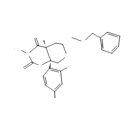 C=C1N[C@@]2(c3ccc(F)cc3F)CO[C@@H](COCc3ccccc3)C[C@H]2C(=O)N1C